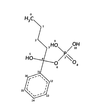 CCCCC(O)(OP(=O)(O)O)c1ccccc1